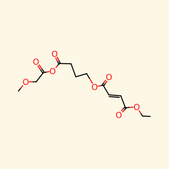 CCOC(=O)C=CC(=O)OCCCC(=O)OC(=O)COC